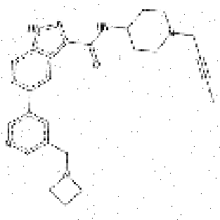 CC#CCN1CCC(NC(=O)c2n[nH]c3ccc(-c4cncc(CN5CCC5)c4)cc23)CC1